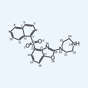 O=S(=O)(c1cccc2ccccc12)c1cccc2oc(N3CCNCC3)nc12